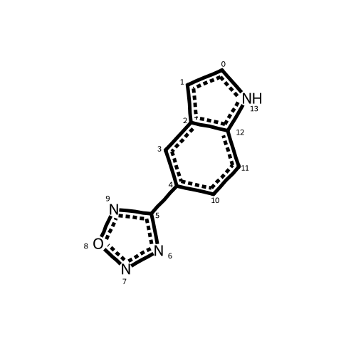 c1cc2cc(-c3nnon3)ccc2[nH]1